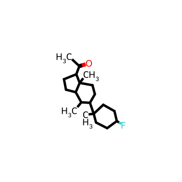 CC(=O)C1CCC2C(C)C(C3(C)CCC(F)CC3)CCC12C